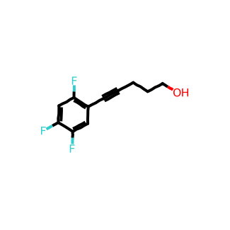 OCCCC#Cc1cc(F)c(F)cc1F